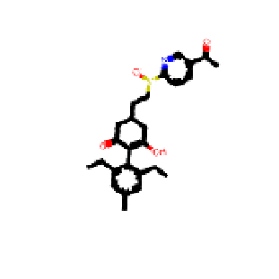 CCc1cc(C)cc(CC)c1C1=C(O)CC(CC[S+]([O-])c2ccc(C(C)=O)cn2)CC1=O